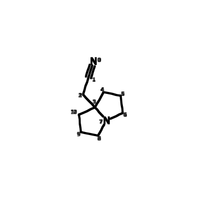 N#CCC12CCCN1CCC2